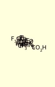 O=C(O)CNC(=O)C(F)(F)C(F)(F)N1C(F)(F)C(F)(C(F)(F)F)OC(F)(C(F)(F)F)C1(F)F